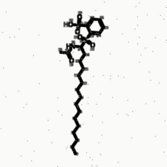 CCCCCCCCCCCCCCCC(NC(C)=O)S(=O)(=O)c1ccccc1S(=O)(=O)O